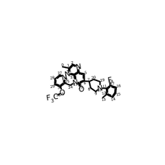 Cc1cnc2cc(C3CCN(c4c(C)cccc4F)CC3)c(=O)n(Cc3ncccc3OC(F)(F)F)c2n1